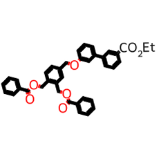 CCOC(=O)c1cccc(-c2cccc(OCc3ccc(COC(=O)c4ccccc4)c(COC(=O)c4ccccc4)c3)c2)c1